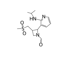 CC(C)Nc1ncccc1C1C(CS(C)(=O)=O)CN1C=O